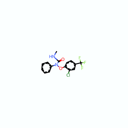 CNC(=O)N(Oc1ccc(C(F)(F)F)cc1Cl)c1ccccc1